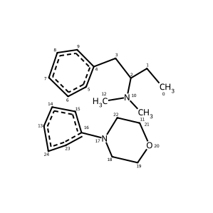 CCC(Cc1ccccc1)N(C)C.c1ccc(N2CCOCC2)cc1